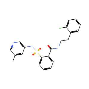 Cc1cncc(NS(=O)(=O)c2ccccc2C(=O)NCCc2ccccc2Cl)c1